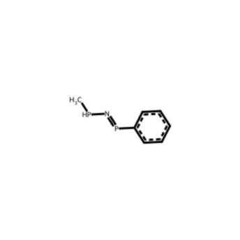 CPN=Pc1ccccc1